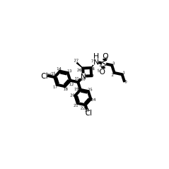 CCCCS(=O)(=O)N[C@@H]1CN(C(c2ccc(Cl)cc2)c2ccc(Cl)cc2)[C@H]1C